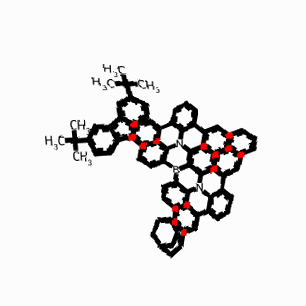 CC(C)(C)c1ccc2c(c1)c1cc(C(C)(C)C)ccc1n2-c1ccc2c(c1)N(c1c(-c3ccccc3)cccc1-c1ccccc1)c1cc(-c3ccccc3)cc3c1B2c1ccc(N2CC4CC5CC4CC2C5)cc1N3c1c(-c2ccccc2)cccc1-c1ccccc1